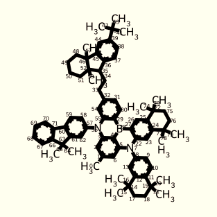 Cc1cc2c3c(c1)N(c1ccc4c(c1)C(C)(C)CCC4(C)C)c1cc4c(cc1B3c1ccc(CCC3c5ccc(C(C)(C)C)cc5C5(C)CCCCC35C)cc1N2c1ccc2c(c1)C(C)(C)c1ccccc1-2)C(C)(C)CCC4(C)C